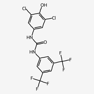 O=C(Nc1cc(C(F)(F)F)cc(C(F)(F)F)c1)Nc1cc(Cl)c(O)c(Cl)c1